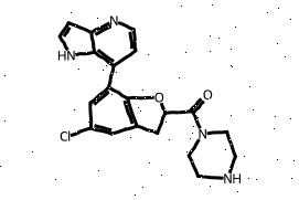 O=C(C1Cc2cc(Cl)cc(-c3ccnc4cc[nH]c34)c2O1)N1CCNCC1